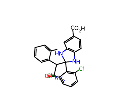 Cc1ccccc1C(C(N)=O)C1(c2c(Cl)cccc2Cl)Nc2ccc(C(=O)O)cc2N1